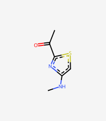 CNc1csc(C(C)=O)n1